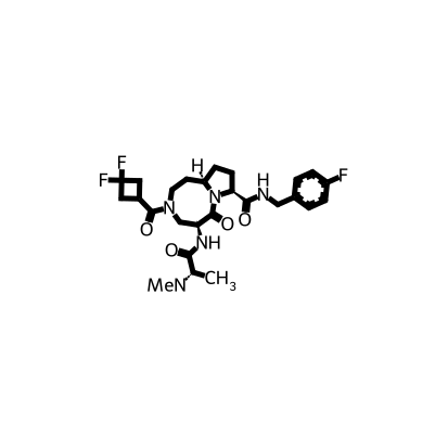 CN[C@@H](C)C(=O)N[C@H]1CN(C(=O)C2CC(F)(F)C2)CC[C@H]2CC[C@@H](C(=O)NCc3ccc(F)cc3)N2C1=O